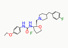 CCOc1ccc(NC(=O)N[C@@H]2[C@@H](F)CCO[C@@H]2CN2CCC(Cc3ccc(F)cc3)CC2)cc1